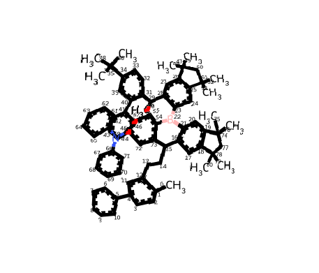 Cc1ccc(-c2ccccc2)cc1CCC1c2cc3c(cc2B(c2cc4c(cc2C(C)c2ccc(C(C)(C)C)cc2-c2ccccc2)C(C)(C)CC4(C)C)c2c(C)cc(N(c4ccccc4)c4ccccc4)cc21)C(C)(C)CC3(C)C